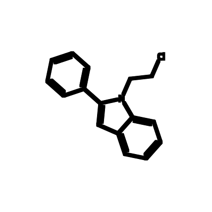 ClCCn1c(-c2ccccc2)cc2ccccc21